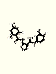 N=C(Nc1ccc(F)c(Br)c1)c1nonc1NC(=O)c1c(Cl)cc(Cl)cc1Cl